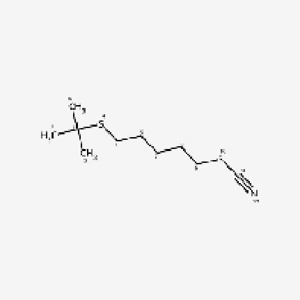 CC(C)(C)SCCCCCSC#N